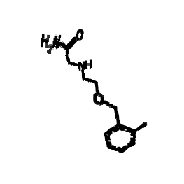 Cc1ccccc1COCCNCC(N)=O